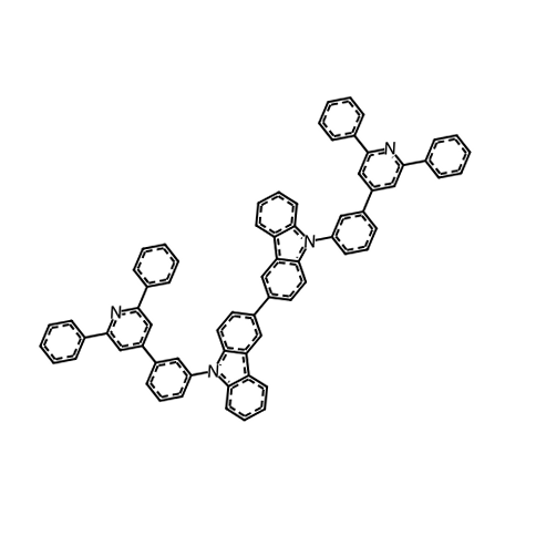 c1ccc(-c2cc(-c3cccc(-n4c5ccccc5c5cc(-c6ccc7c(c6)c6ccccc6n7-c6cccc(-c7cc(-c8ccccc8)nc(-c8ccccc8)c7)c6)ccc54)c3)cc(-c3ccccc3)n2)cc1